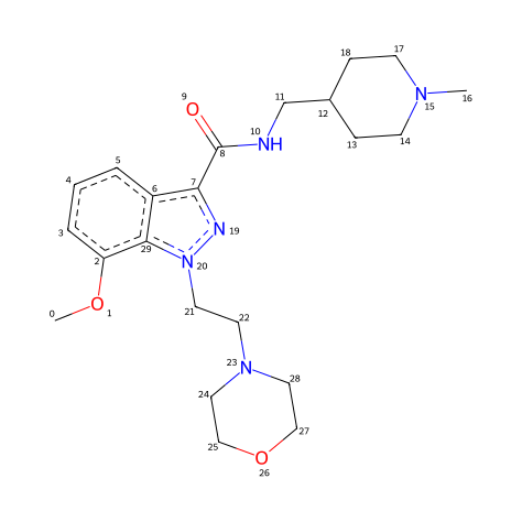 COc1cccc2c(C(=O)NCC3CCN(C)CC3)nn(CCN3CCOCC3)c12